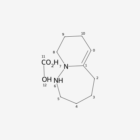 C1=C2CCCCNN2CCC1.O=C(O)O